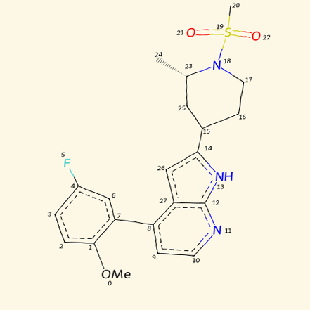 COc1ccc(F)cc1-c1ccnc2[nH]c(C3CCN(S(C)(=O)=O)[C@@H](C)C3)cc12